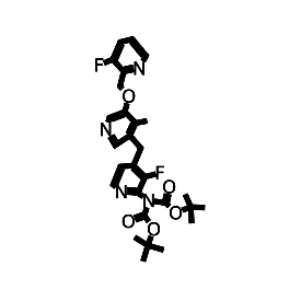 Cc1c(Cc2ccnc(N(C(=O)OC(C)(C)C)C(=O)OC(C)(C)C)c2F)cncc1OCc1ncccc1F